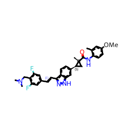 COc1ccc(NC(=O)[C@]2(C)C[C@H]2c2ccc3c(/C=C/c4cc(F)c(CN(C)C)c(F)c4)n[nH]c3c2)c(C)c1